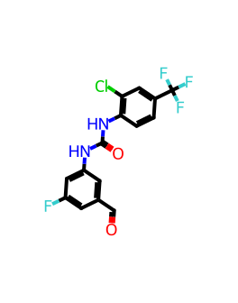 O=Cc1cc(F)cc(NC(=O)Nc2ccc(C(F)(F)F)cc2Cl)c1